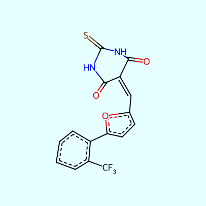 O=C1NC(=S)NC(=O)C1=Cc1ccc(-c2ccccc2C(F)(F)F)o1